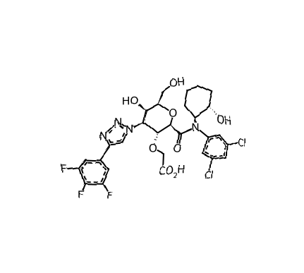 O=C(O)CO[C@@H]1[C@@H](n2cc(-c3cc(F)c(F)c(F)c3)nn2)[C@@H](O)[C@@H](CO)O[C@H]1C(=O)N(c1cc(Cl)cc(Cl)c1)[C@H]1CCCC[C@@H]1O